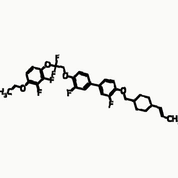 C/C=C/C1CCC(COc2ccc(-c3ccc(OCC(F)(F)Oc4ccc(OCC)c(F)c4F)c(F)c3)cc2F)CC1